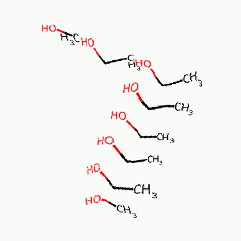 CCO.CCO.CCO.CCO.CCO.CCO.CO.CO